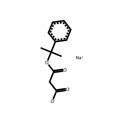 CC(C)(OC(=O)CC(=O)[O-])c1ccccc1.[Na+]